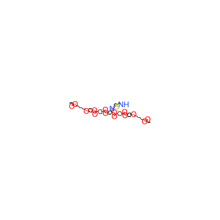 C=CC(=O)OCCCCCCOc1ccc(OC(=O)C2CCC(C(=O)Oc3ccc(OC(=O)C4CCC(C(=O)Oc5ccc(OCCCCCCOC(=O)C=C)cc5)CC4)c(/N=C/c4ccc(C=N)s4)c3)CC2)cc1